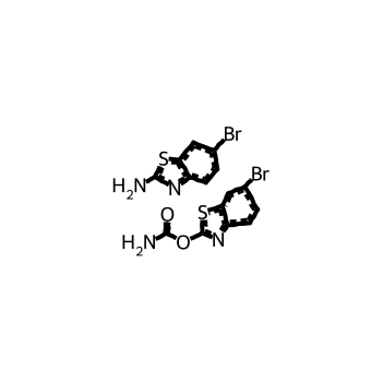 NC(=O)Oc1nc2ccc(Br)cc2s1.Nc1nc2ccc(Br)cc2s1